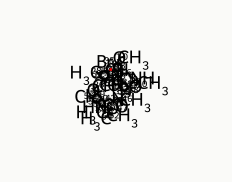 COc1cc2c(CCNC(C)=O)c(-c3cccc(F)c3)n(C(=O)c3c(C)cc(C)cc3C)c2cc1Br.COc1cc2c(CCNC(C)=O)c(C(=O)C(C)(C)C)[nH]c2cc1Cl